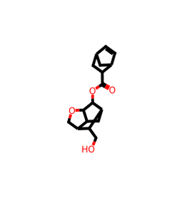 O=C(OC1C2CC3C(COC31)C2CO)C1CC2C=CC1C2